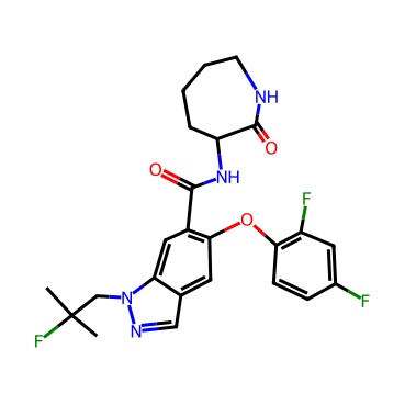 CC(C)(F)Cn1ncc2cc(Oc3ccc(F)cc3F)c(C(=O)NC3CCCCNC3=O)cc21